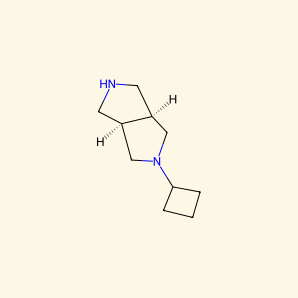 C1CC(N2C[C@H]3CNC[C@H]3C2)C1